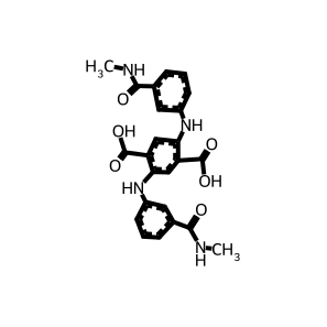 CNC(=O)c1cccc(Nc2cc(C(=O)O)c(Nc3cccc(C(=O)NC)c3)cc2C(=O)O)c1